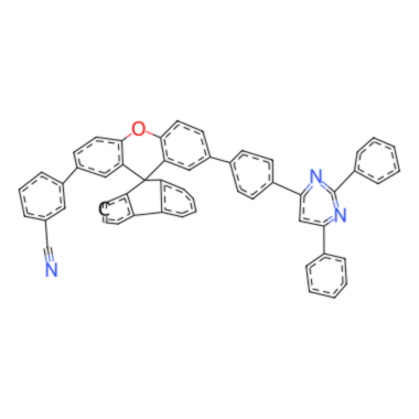 N#Cc1cccc(-c2ccc3c(c2)C2(c4cc(-c5ccc(-c6cc(-c7ccccc7)nc(-c7ccccc7)n6)cc5)ccc4O3)c3ccccc3-c3ccccc32)c1